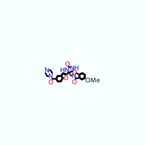 COc1ccc2c(c1)C(=O)N(C[C@@]1(c3cc4cc(C(=O)N5CCN(C)CC5)ccc4o3)NC(=O)NC1=O)C2